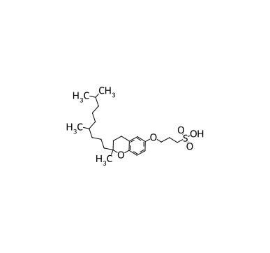 CC(C)CCCC(C)CCCC1(C)CCc2cc(OCCCS(=O)(=O)O)ccc2O1